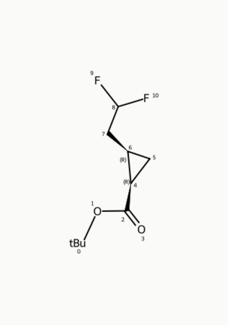 CC(C)(C)OC(=O)[C@@H]1C[C@@H]1CC(F)F